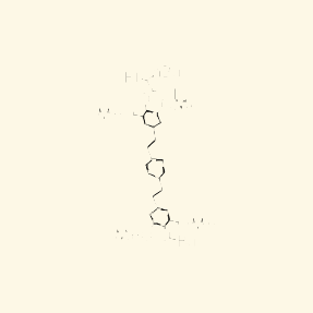 CCCCC(CC)C(C)Oc1c(OC)cc(/C=C/c2ccc(/C=C/c3cc(OC)c(OC(C)CC)c(OC)c3)cc2)cc1OC